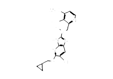 COc1ccnc(C[S+]([O-])c2nc3cc(C)c(OCC4CC4)nc3[nH]2)c1C